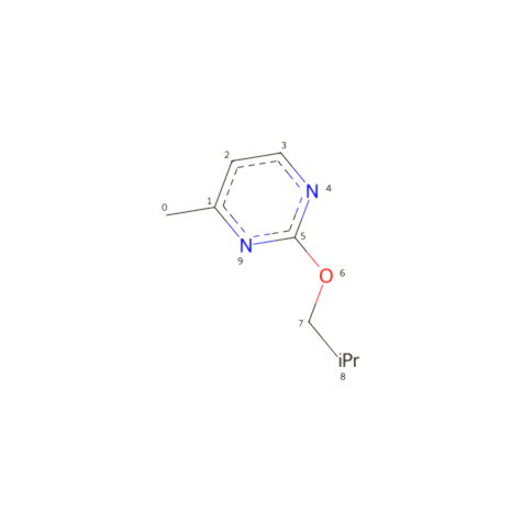 Cc1ccnc(OCC(C)C)n1